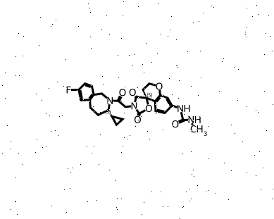 CNC(=O)Nc1ccc2c(c1)OCC[C@]21OC(=O)N(CC(=O)N2Cc3ccc(F)cc3CC[C@H]2C2CC2)C1=O